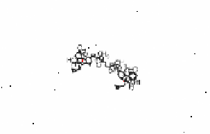 C[Si](C)(OC(=O)CCC(=O)O[Si](C)(C)OC1=C2O[C@H]3C(=O)CC[C@@]4(O)[C@H]5CC(C=C1)C2[C@@]34CCN5CC1CC1)OC1=C2O[C@H]3C(=O)CC[C@@]4(O)[C@H]5CC(C=C1)C2[C@@]34CCN5CC1CC1